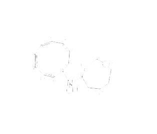 CN(c1ccccccccc1)C1CCCCCCC1